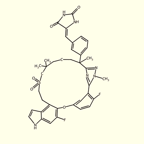 Cn1nc2nc1-c1cc(ccc1F)Oc1c(F)cc3[nH]ccc3c1CCS(=O)(=O)CC(C)(C)CCCC2(C)c1cccc(/C=C2\NC(=O)NC2=O)c1